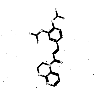 O=C(/C=C/c1ccc(OC(F)F)c(OC(F)F)c1)N1CCOc2ncccc21